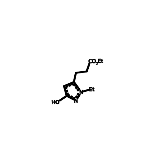 CCOC(=O)CCc1cc(O)nn1CC